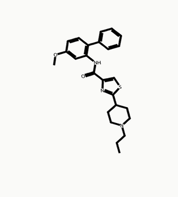 CCCN1CCC(c2nc(C(=O)Nc3cc(OC)ccc3-c3ccccc3)cs2)CC1